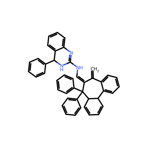 C=C1/C(=C\NC2=Nc3ccccc3C(c3ccccc3)N2)C(c2ccccc2)(c2ccccc2)C2C=CC=CC2c2ccccc21